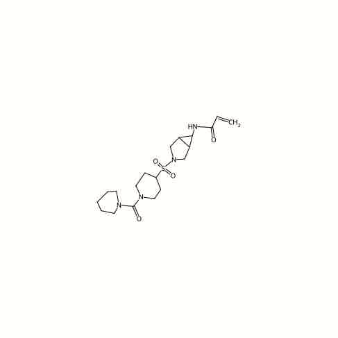 C=CC(=O)NC1C2CN(S(=O)(=O)C3CCN(C(=O)N4CCCCC4)CC3)CC21